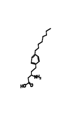 CCCCCCCCc1ccc(CCC(N)CC(=O)O)cc1